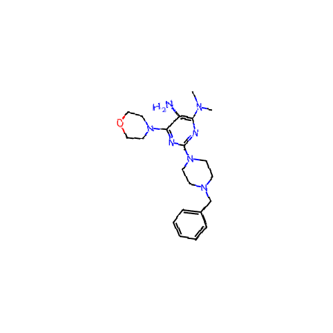 CN(C)c1nc(N2CCN(Cc3ccccc3)CC2)nc(N2CCOCC2)c1N